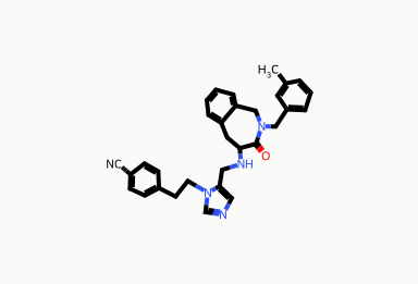 Cc1cccc(CN2Cc3ccccc3CC(NCc3cncn3CCc3ccc(C#N)cc3)C2=O)c1